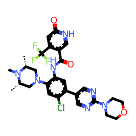 C[C@@H]1CN(c2cc(Cl)c(-c3cnc(N4CCOCC4)nc3)cc2NC(=O)c2c[nH]c(=O)cc2C(F)(F)F)C[C@H](C)N1C